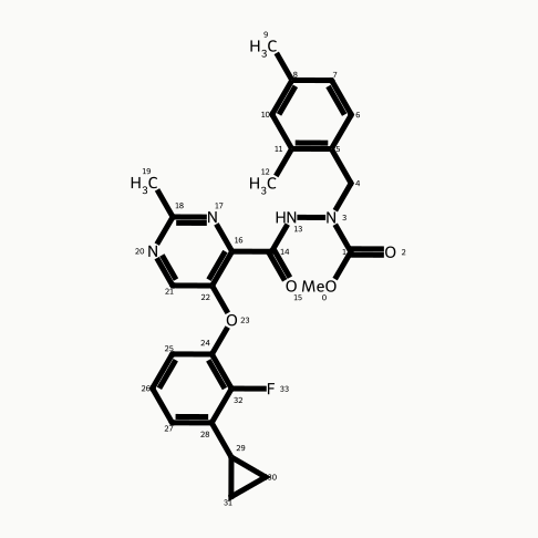 COC(=O)N(Cc1ccc(C)cc1C)NC(=O)c1nc(C)ncc1Oc1cccc(C2CC2)c1F